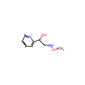 CONCC(O)c1ccccn1